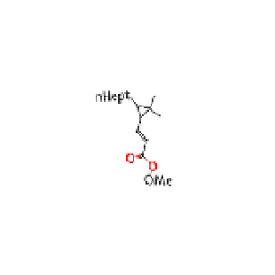 CCCCCCCC1C(/C=C/C(=O)OOC)C1(C)C